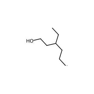 [CH2]CCC(CC)CCO